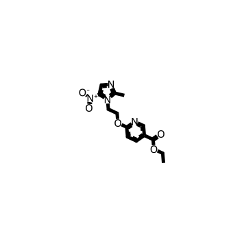 CCOC(=O)c1ccc(OCCn2c([N+](=O)[O-])cnc2C)nc1